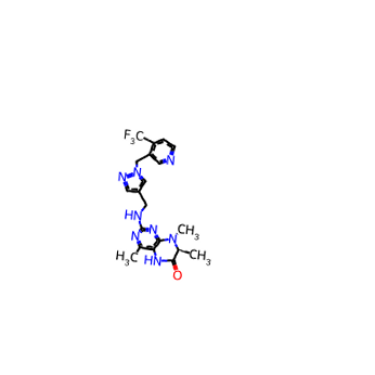 Cc1nc(NCc2cnn(Cc3cnccc3C(F)(F)F)c2)nc2c1NC(=O)[C@H](C)N2C